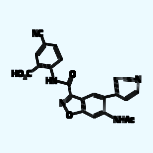 CC(=O)Nc1cc2onc(C(=O)Nc3ccc(C#N)cc3C(=O)O)c2cc1-c1ccncc1